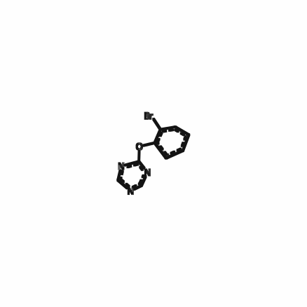 Brc1ccccc1Oc1ncncn1